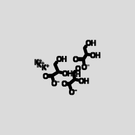 O=C([O-])C(O)CO.O=C([O-])C(O)CO.O=C([O-])C(O)CO.[K+].[K+].[K+]